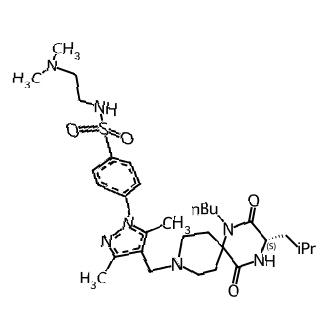 CCCCN1C(=O)[C@H](CC(C)C)NC(=O)C12CCN(Cc1c(C)nn(-c3ccc(S(=O)(=O)NCCN(C)C)cc3)c1C)CC2